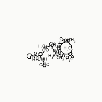 COc1cc2cc(c1Cl)CC(=O)C[C@H](OC(=O)[C@H](C)N(C)C(=O)CCSC(=O)N(C)CCN(C)C(=O)OCc1ccc(NC(=O)NC3/C=C/CCCCC3)c(C(=O)NCCN3C(=O)C=CC3=O)c1)[C@]1(C)O[C@H]1[C@H](C)[C@@H]1C[C@@](O)(NC(=O)O1)[C@H](OC)/C=C/C=C(\C)C2